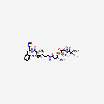 CC[C@H](C)[C@@H]([C@@H](CC(=O)NCCC[C@@H]1C[C@@]1(OC)[C@@H](C)C(=O)N[C@@H](Cc1ccccc1)c1nccs1)OC)N(C)C(=O)[C@@H](NC(=O)C(C)(C)NC)C(C)C